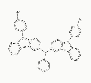 CC(=O)c1ccc(-n2c3ccccc3c3cc(N(c4ccccc4)c4ccc5c(c4)c4ccccc4n5-c4ccc(C(C)=O)cc4)ccc32)cc1